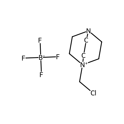 ClC[N+]12CCN(CC1)CC2.F[B-](F)(F)F